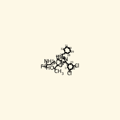 CC(O)C(=O)N(CCC(N)CF)[C@@H](c1nc(-c2cc(Cl)cc(Cl)c2)nn1Cc1ccccc1)C(C)(C)C